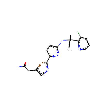 CC(C)(Nc1ccc(-c2ncc(CC(N)=O)s2)nn1)c1ncccc1Cl